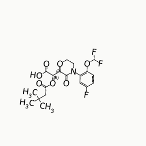 CC(C)(C)CC(=O)O[C@@H](C(=O)O)[C@H]1OCCN(c2cc(F)ccc2OC(F)F)C1=O